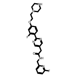 O=C(Cc1cnc(-c2ccc(OCCN3CCNCC3)cc2F)nc1)NCc1cccc(F)n1